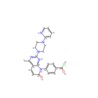 Cc1nc(N2CCN(c3ccccn3)CC2)nc2c1ccc(=O)n2-c1ccc(C(=O)Cl)cc1